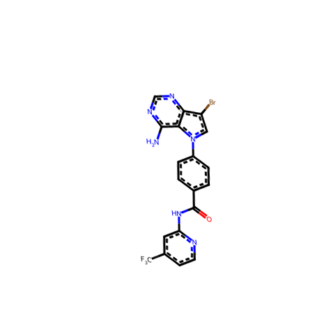 Nc1ncnc2c(Br)cn(-c3ccc(C(=O)Nc4cc(C(F)(F)F)ccn4)cc3)c12